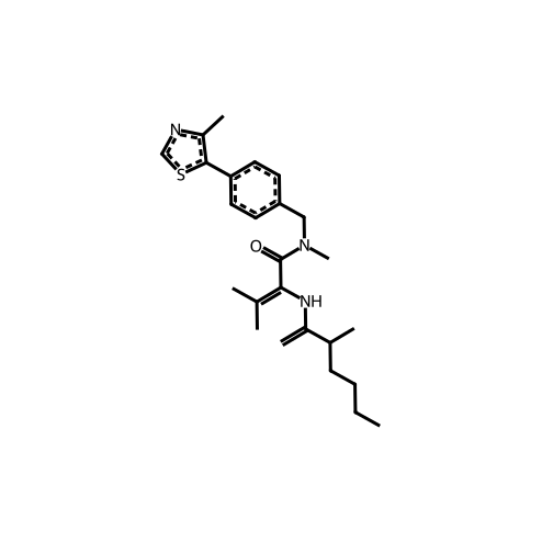 C=C(NC(C(=O)N(C)Cc1ccc(-c2scnc2C)cc1)=C(C)C)C(C)CCCC